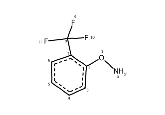 NOc1ccccc1C(F)(F)F